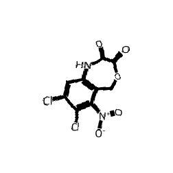 O=C1Nc2cc(Cl)c(Cl)c([N+](=O)[O-])c2COC1=O